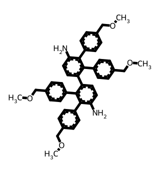 COCc1ccc(-c2c(N)ccc(-c3ccc(N)c(-c4ccc(COC)cc4)c3-c3ccc(COC)cc3)c2-c2ccc(COC)cc2)cc1